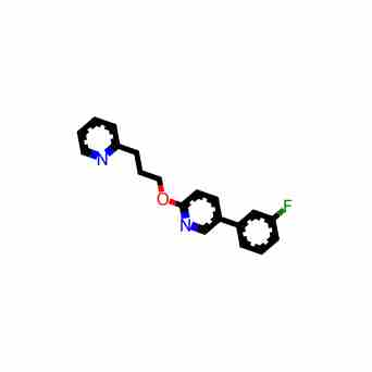 Fc1cccc(-c2ccc(OCCCc3ccccn3)nc2)c1